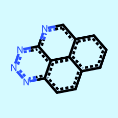 c1cc2ccc3nnnc4ncc(c1)c2c34